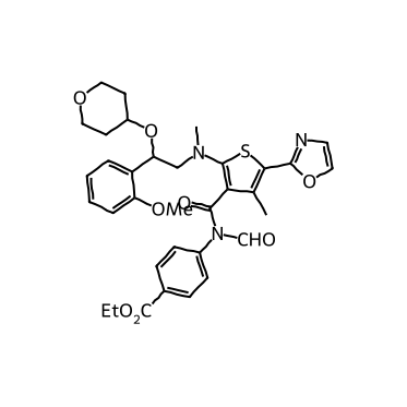 CCOC(=O)c1ccc(N(C=O)C(=O)c2c(N(C)CC(OC3CCOCC3)c3ccccc3OC)sc(-c3ncco3)c2C)cc1